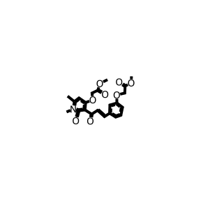 COC(=O)COc1cccc(/C=C/C(=O)c2c(OCC(=O)OC)cc(C)n(C)c2=O)c1